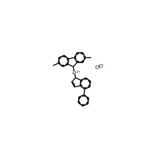 Cc1ccc2c(c1)[CH]([Zr+2][CH]1C=Cc3c(-c4ccccc4)cccc31)c1cc(C)ccc1-2.[Cl-].[Cl-]